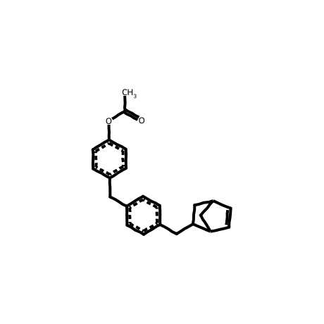 CC(=O)Oc1ccc(Cc2ccc(CC3CC4C=CC3C4)cc2)cc1